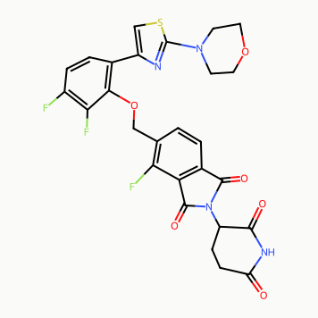 O=C1CCC(N2C(=O)c3ccc(COc4c(-c5csc(N6CCOCC6)n5)ccc(F)c4F)c(F)c3C2=O)C(=O)N1